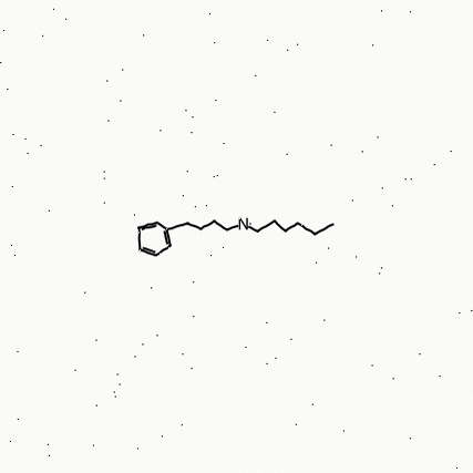 CCCCCC[N]CCCCc1ccccc1